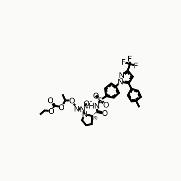 CCOC(=O)OC(C)ON=[N+]([O-])N1CCC[C@H]1C(=O)NS(=O)(=O)c1ccc(-n2nc(C(F)(F)F)cc2-c2ccc(C)cc2)cc1